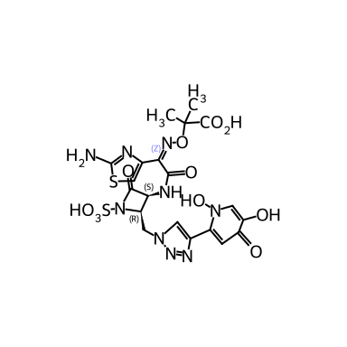 CC(C)(O/N=C(\C(=O)N[C@@H]1C(=O)N(S(=O)(=O)O)[C@@H]1Cn1cc(-c2cc(=O)c(O)cn2O)nn1)c1csc(N)n1)C(=O)O